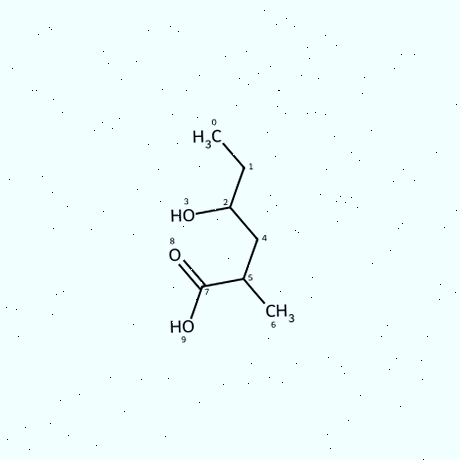 CCC(O)CC(C)C(=O)O